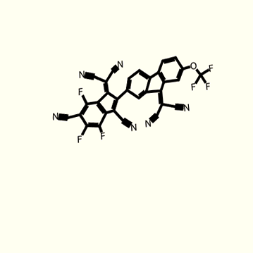 N#CC(C#N)=C1c2cc(OC(F)(F)F)ccc2-c2ccc(C3=C(C#N)c4c(F)c(F)c(C#N)c(F)c4C3=C(C#N)C#N)cc21